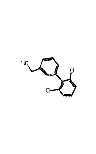 OCc1cccc(-c2c(Cl)cccc2Cl)c1